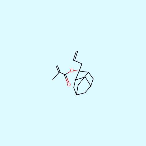 C=CCC1(OC(=O)C(=C)C)C2CC3CC(C2)CC1C3